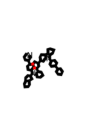 c1ccc(-c2ccc(-n3c4ccccc4c4ccc(-c5cccc(-c6ccccc6N(c6ccc(-c7cccnc7)cc6)c6ccc7ccccc7c6)c5)cc43)cc2)cc1